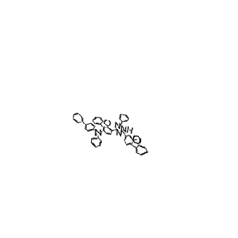 c1ccc(C2=NC(c3ccc(N(c4ccccc4)c4ccc(-c5ccccc5)cc4)c4c3oc3ccccc34)=NC(c3ccc4c(c3)oc3ccccc34)N2)cc1